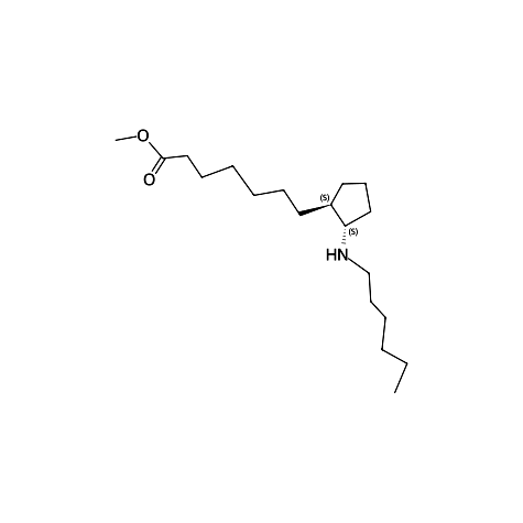 CCCCCCN[C@H]1CCC[C@@H]1CCCCCCC(=O)OC